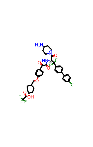 NC1CCN(C(=O)[C@H](NC(=O)C(=O)c2ccc(OCC3CCCCC3)cc2)C(F)(F)c2ccc(-c3ccc(Cl)cc3)cc2)CC1.O=C(O)C(F)(F)F